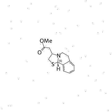 COC(=O)CC1CS[C@H]2c3ccccc3CCN12